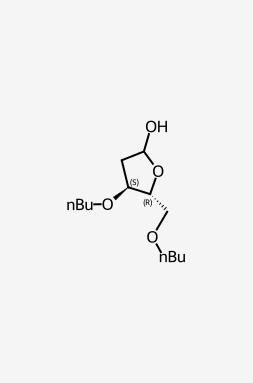 CCCCOC[C@H]1OC(O)C[C@@H]1OCCCC